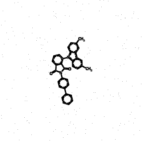 Cc1ccc2c(c1)c1cc(C)ccc1n2-c1cccc2c1C(=O)N(c1ccc(-c3ccccc3)cc1)C2=O